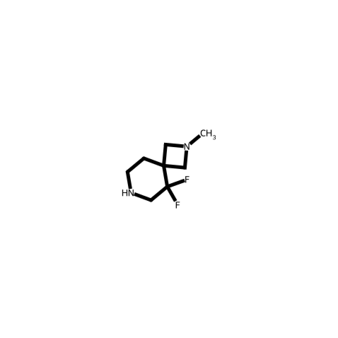 CN1CC2(CCNCC2(F)F)C1